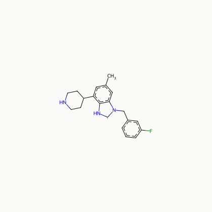 Cc1cc(C2CCNCC2)c2c(c1)N(Cc1cccc(F)c1)[CH]N2